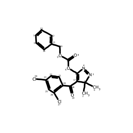 CC1(C)N=NC(OC(=O)OCc2ccccc2)=C1C(=O)c1ccc(Cl)cc1Cl